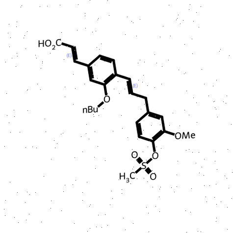 CCCCOc1cc(/C=C/C(=O)O)ccc1/C=C/Cc1ccc(OS(C)(=O)=O)c(OC)c1